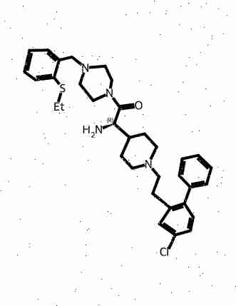 CCSc1ccccc1CN1CCN(C(=O)[C@H](N)C2CCN(CCc3cc(Cl)ccc3-c3ccccc3)CC2)CC1